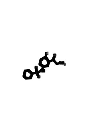 O=C(C[N+](=O)[O-])c1cc(NS(=O)(=O)c2ccccc2)ccc1Cl